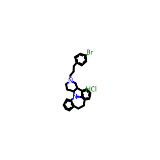 Brc1ccc(CCCN2CCC3C(C2)c2cccc4c2N3c2ccccc2CC4)cc1.Cl